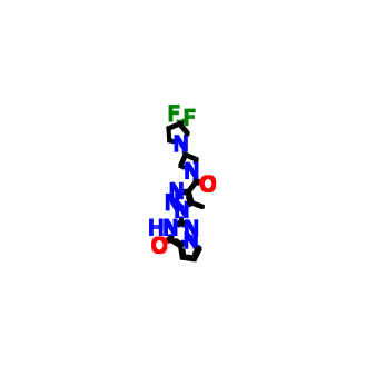 Cc1c(C(=O)N2CC(N3CCC(F)(F)C3)C2)nnn1-c1nn2cccc2c(=O)[nH]1